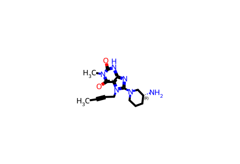 CC#CCn1c(N2CCC[C@@H](N)C2)nc2[nH]c(=O)n(C)c(=O)c21